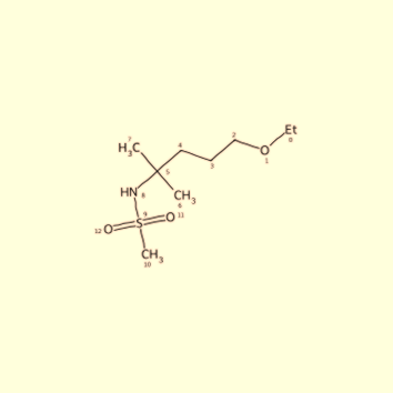 CCOCCCC(C)(C)NS(C)(=O)=O